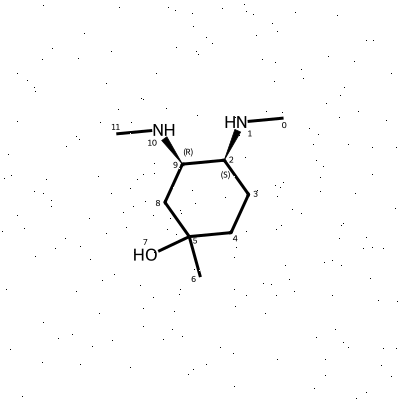 CN[C@H]1CCC(C)(O)C[C@H]1NC